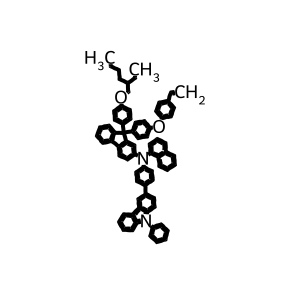 C=Cc1ccc(Oc2ccc(C3(c4ccc(OCC(CC)CCCC)cc4)c4ccccc4-c4ccc(N(c5ccc(-c6ccc7c(c6)c6ccccc6n7-c6ccccc6)cc5)c5cccc6ccccc56)cc43)cc2)cc1